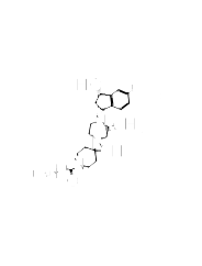 Cc1ccc2c(c1)[C@@H](O)C[C@@H]2N1CCN(C2(C)CCN(C(=O)OC(C)(C)C)CC2)C[C@@H]1C